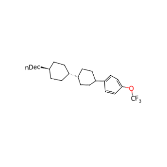 CCCCCCCCCC[C@H]1CC[C@H](C2CCC(c3ccc(OC(F)(F)F)cc3)CC2)CC1